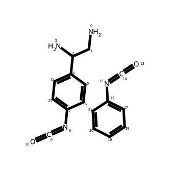 NCC(N)c1ccc(N=C=O)cc1.O=C=Nc1ccccc1